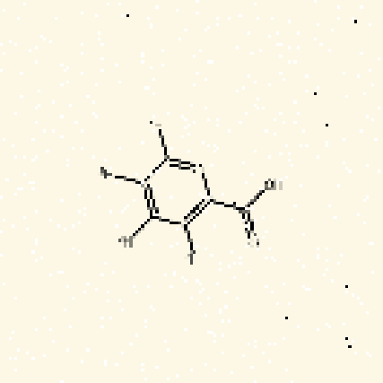 [2H]c1nc(C(=O)O)c([2H])c([2H])c1[2H]